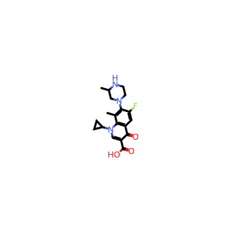 Cc1c(N2CCNC(C)C2)c(F)cc2c(=O)c(C(=O)O)cn(C3CC3)c12